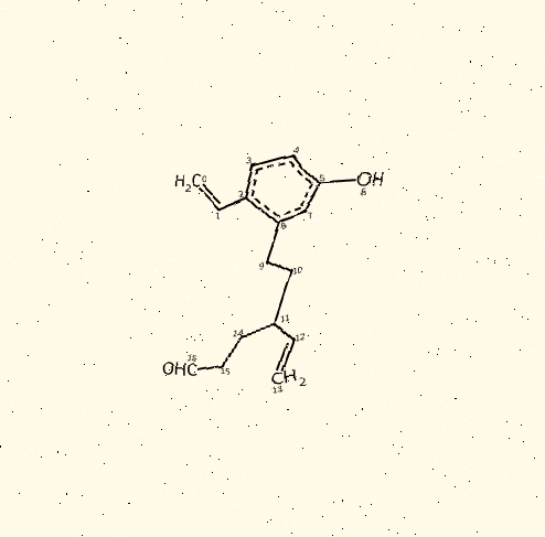 C=Cc1ccc(O)cc1CCC(C=C)CCC=O